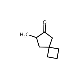 CC1CC2(CCC2)CC1=O